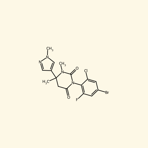 CN1C(=O)N(c2c(F)cc(Br)cc2Cl)C(=O)CC1(C)c1cnn(C)c1